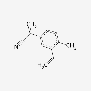 C=Cc1cc(C(=C)C#N)ccc1C